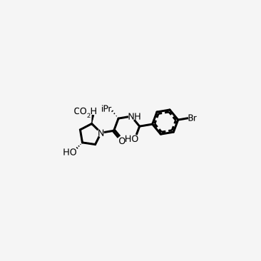 CC(C)[C@H](NC(O)c1ccc(Br)cc1)C(=O)N1C[C@H](O)C[C@H]1C(=O)O